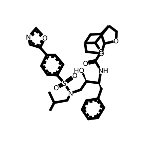 CC(C)CN(C[C@@H](O)[C@H](Cc1ccccc1)NC(=O)OC1C2COC3OCC1C3C2)S(=O)(=O)c1ccc(-c2cnco2)cc1